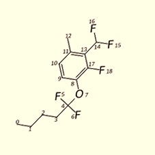 CCCCC(F)(F)Oc1ccc(C)c(C(F)F)c1F